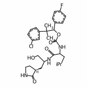 CC(C)CC(NC(=O)OC(c1ccc(F)cc1)C(C)(C)c1cccc(Cl)c1)C(=O)NC(CO)C[C@@H]1CCNC1=O